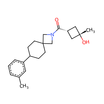 Cc1cccc(C2CCC3(CC2)CN(C(=O)[C@H]2C[C@@](C)(O)C2)C3)c1